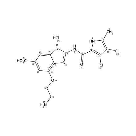 Cc1[nH]c(C(=O)Nc2nc3c(OCCN)cc(C(=O)O)cc3s2)c(Cl)c1Cl.Cl